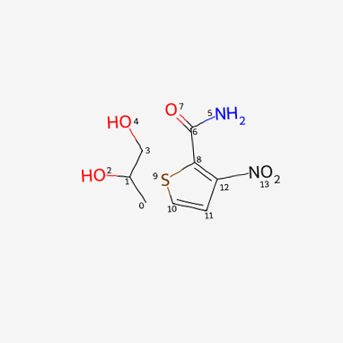 CC(O)CO.NC(=O)c1sccc1[N+](=O)[O-]